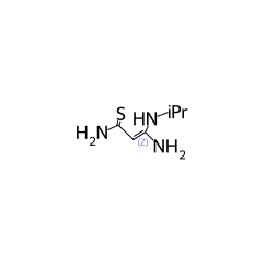 CC(C)N/C(N)=C\C(N)=S